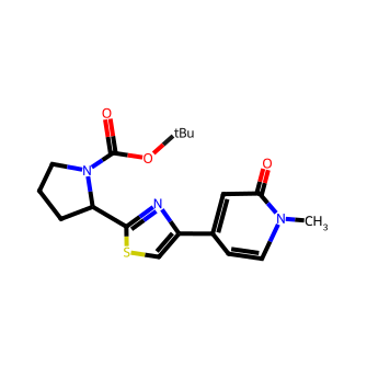 Cn1ccc(-c2csc(C3CCCN3C(=O)OC(C)(C)C)n2)cc1=O